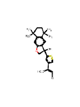 CCC=C(C(=O)O)c1csc(C2(C)COc3cc4c(cc32)C(C)(C)CCC4(C)C)c1